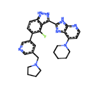 Fc1c(-c2cncc(CN3CCCC3)c2)ccc2[nH]nc(-c3nc4c(N5CCCCC5)ccnc4[nH]3)c12